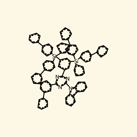 c1ccc(-c2ccc([Si](c3ccccc3)(c3ccc(-c4ccccc4)cc3)c3cc(-c4nc(-c5cccc(-c6ccccc6)c5)nc(-n5c6ccccc6c6ccccc65)n4)cc([Si](c4ccccc4)(c4ccc(-c5ccccc5)cc4)c4ccc(-c5ccccc5)cc4)c3)cc2)cc1